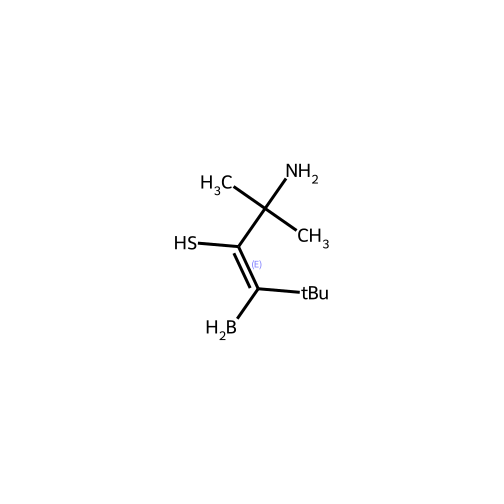 B/C(=C(\S)C(C)(C)N)C(C)(C)C